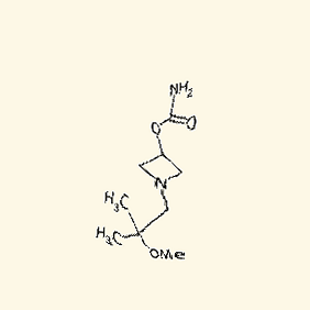 COC(C)(C)CN1CC(OC(N)=O)C1